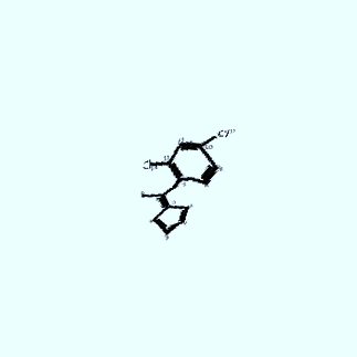 CC(=C1C=CC=C1)c1ccc(Cl)cc1Cl